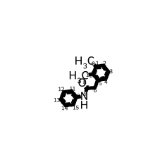 Cc1cccc(CC(=O)Nc2ccccc2)c1C